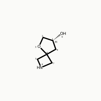 O[C@H]1COC2(CNC2)C1